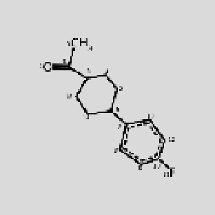 CC(=O)C1CCC(c2ccc(F)cc2)CC1